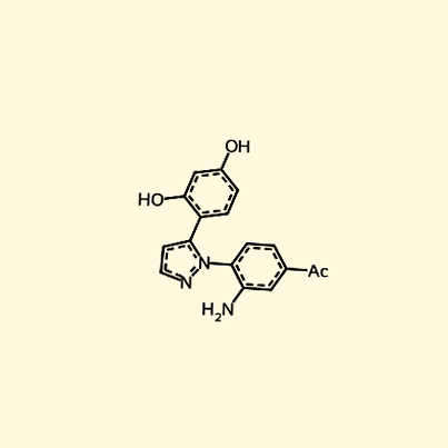 CC(=O)c1ccc(-n2nccc2-c2ccc(O)cc2O)c(N)c1